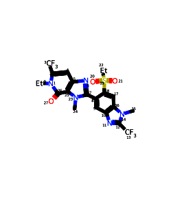 CCn1c(C(F)(F)F)cc2nc(-c3cc4nc(C(F)(F)F)n(C)c4cc3S(=O)(=O)CC)n(C)c2c1=O